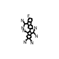 N#CC(C#N)=C1C(c2ccc3c(c2)C(=C(C#N)C#N)c2cc(F)ccc2-3)=C(C#N)c2cc(C#N)c(C#N)cc21